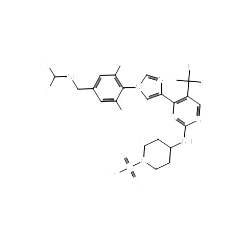 CC(C)NCc1cc(F)c(-n2cnc(-c3nc(NC4CCN(S(C)(=O)=O)CC4)ncc3C(F)(F)F)c2)c(F)c1